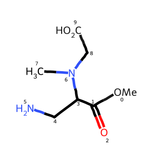 COC(=O)C(CN)N(C)CC(=O)O